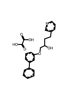 O=C(O)C(=O)O.OC(CCc1cccnc1)COc1cccc(-c2ccccc2)c1